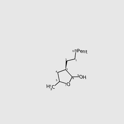 CCCCCCC[C@@H]1CC(C)OC1O